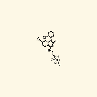 NS(=O)(=O)NCCNc1nc(=O)n(-c2ccccc2Cl)c2cc(C3CC3)ccc12